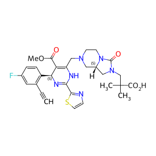 C#Cc1cc(F)ccc1[C@@H]1N=C(c2nccs2)NC(CN2CCN3C(=O)N(CC(C)(C)C(=O)O)C[C@@H]3C2)=C1C(=O)OC